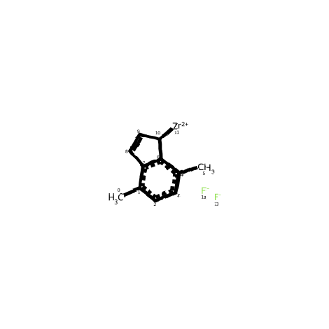 Cc1ccc(C)c2c1C=C[CH]2[Zr+2].[F-].[F-]